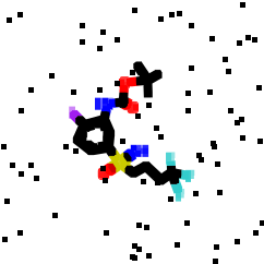 CC(C)(C)OC(=O)Nc1cc(S(=N)(=O)CCCC(F)(F)F)ccc1I